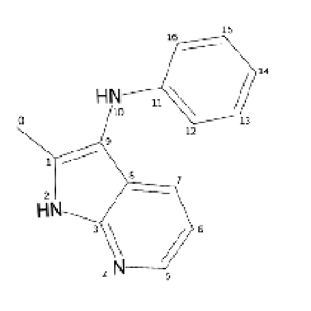 Cc1[nH]c2ncccc2c1Nc1ccccc1